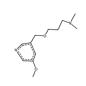 COc1cncc(COCCCN(C)C)c1